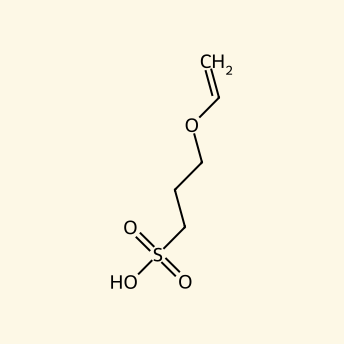 C=COCCCS(=O)(=O)O